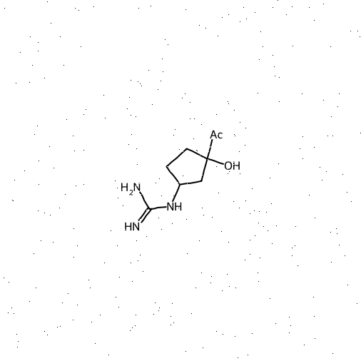 CC(=O)C1(O)CCC(NC(=N)N)C1